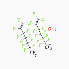 FC(F)=C(F)C(F)(F)C(F)(F)C(F)(F)C(F)(F)C(F)(F)F.FC(F)=C(F)C(F)(F)C(F)(F)C(F)(F)C(F)(F)C(F)(F)F.O